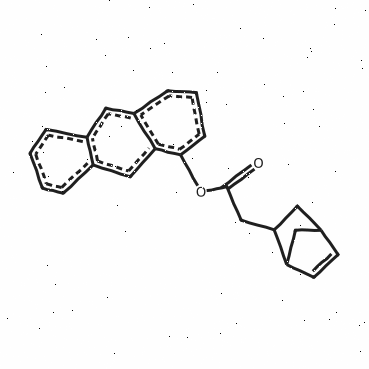 O=C(CC1CC2C=CC1C2)Oc1cccc2cc3ccccc3cc12